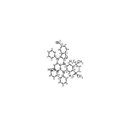 Cc1cc2c3c(c1)N(c1ccccc1)c1c(oc4ccc(C(C)(C)C)cc14)B3c1cc3c(cc1N2c1ccccc1-c1ccccc1)C(C)(C)CCC3(C)C